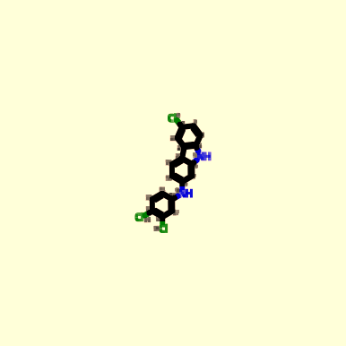 Clc1ccc2[nH]c3cc(Nc4ccc(Cl)c(Cl)c4)ccc3c2c1